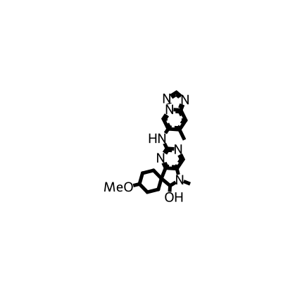 COC1CCC2(CC1)c1nc(Nc3cn4ncnc4cc3C)ncc1N(C)C2O